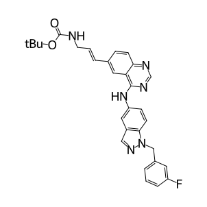 CC(C)(C)OC(=O)NCC=Cc1ccc2ncnc(Nc3ccc4c(cnn4Cc4cccc(F)c4)c3)c2c1